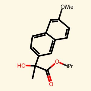 COc1ccc2cc(C(C)(O)C(=O)OC(C)C)ccc2c1